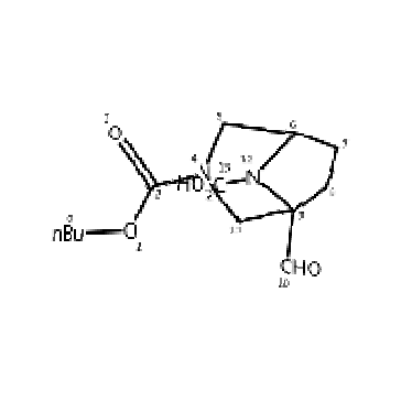 CCCCOC(=O)N1CC2CCC(C=O)(C1)N2C(=O)O